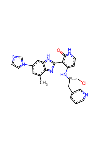 Cc1cc(-n2ccnc2)cc2[nH]c(-c3c(N[C@H](CO)Cc4cccnc4)cc[nH]c3=O)nc12